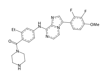 CCc1cc(Nc2nccn3c(-c4ccc(OC)c(F)c4F)cnc23)ccc1C(=O)N1CCNCC1